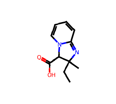 CCC1(C)N=C2C=CC=CN2C1C(=O)O